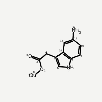 CC(C)(C)OC(=O)Cc1c[nH]c2ccc(N)cc12